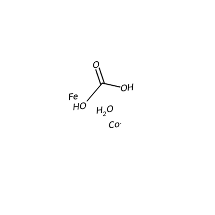 O.O=C(O)O.[Co].[Fe]